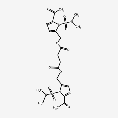 CC(=O)c1ncc(COC(=O)CCC(=O)OCc2cnc(C(C)=O)n2S(=O)(=O)N(C)C)n1S(=O)(=O)N(C)C